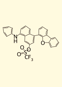 O=S(=O)(Oc1cc(-c2cccc3c2oc2ccccc23)c2cccc(Nc3ccccc3)c2c1)C(F)(F)F